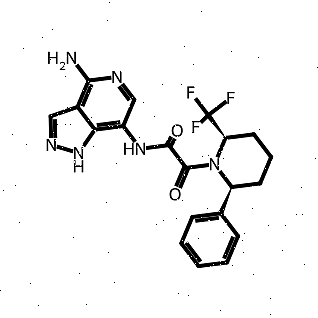 Nc1ncc(NC(=O)C(=O)N2[C@H](c3ccccc3)CCC[C@@H]2C(F)(F)F)c2[nH]ncc12